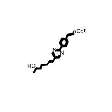 CCCCCCCCC=Cc1ccc(-c2ncc(C=CCCCC(C)O)cn2)cc1